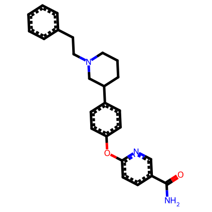 NC(=O)c1ccc(Oc2ccc(C3CCCN(CCc4ccccc4)C3)cc2)nc1